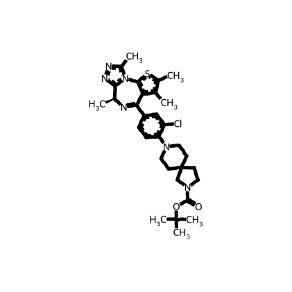 Cc1sc2c(c1C)C(c1ccc(N3CCC4(CCN(C(=O)OC(C)(C)C)C4)CC3)c(Cl)c1)=N[C@@H](C)c1nnc(C)n1-2